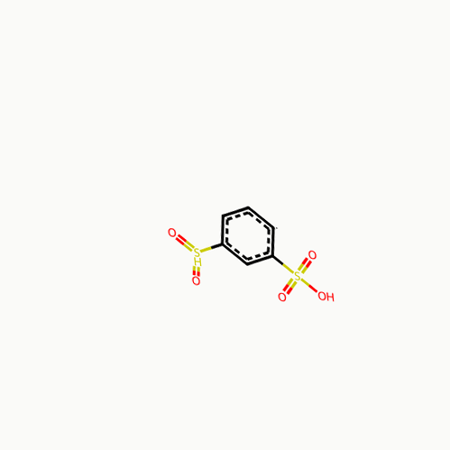 O=[SH](=O)c1cc[c]c(S(=O)(=O)O)c1